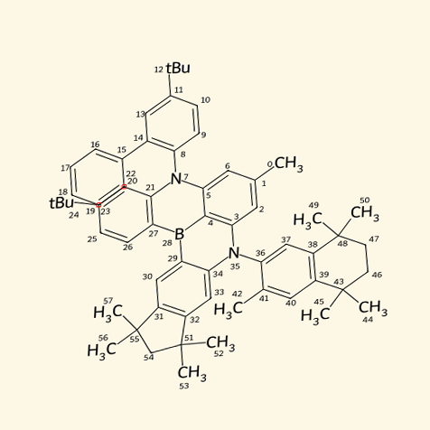 Cc1cc2c3c(c1)N(c1ccc(C(C)(C)C)cc1-c1ccccc1)c1cc(C(C)(C)C)ccc1B3c1cc3c(cc1N2c1cc2c(cc1C)C(C)(C)CCC2(C)C)C(C)(C)CC3(C)C